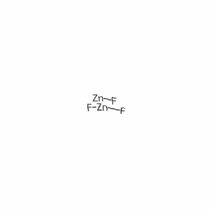 [F][Zn].[F][Zn][F]